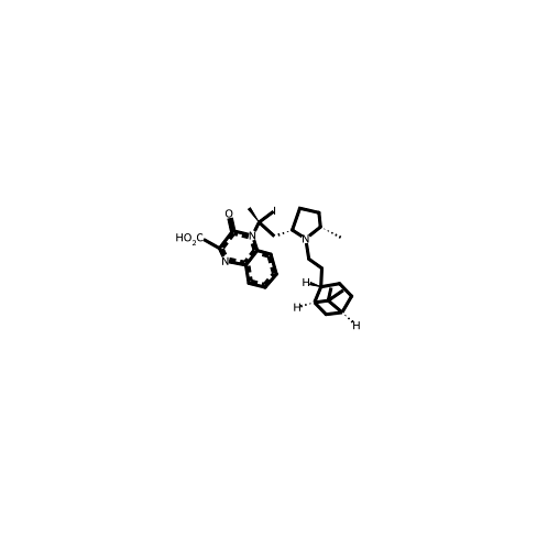 C[C@H]1CC[C@@H](C[C@@](C)(I)n2c(=O)c(C(=O)O)nc3ccccc32)N1CC[C@@H]1CC[C@H]2C[C@@H]1C2(C)C